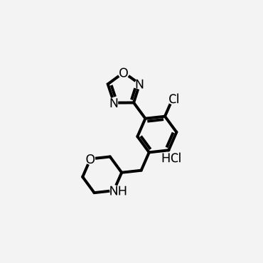 Cl.Clc1ccc(CC2COCCN2)cc1-c1ncon1